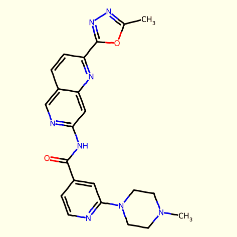 Cc1nnc(-c2ccc3cnc(NC(=O)c4ccnc(N5CCN(C)CC5)c4)cc3n2)o1